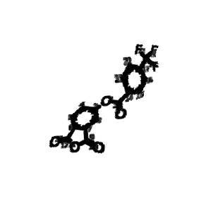 O=C(Oc1ccc2c(c1)C(=O)OC2=O)c1ccc(C(F)(F)F)cc1